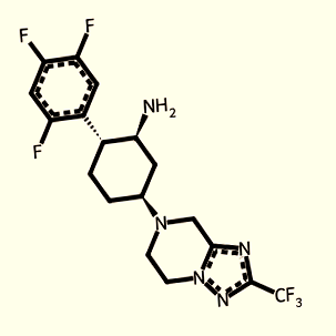 N[C@H]1C[C@@H](N2CCn3nc(C(F)(F)F)nc3C2)CC[C@@H]1c1cc(F)c(F)cc1F